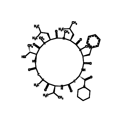 CC(C)C[C@H]1C(=O)N(C)[C@@H](CC(C)C)C(=O)N(C)[C@@H](Cc2ccccc2)C(=O)N[C@H](C(=O)N2CCCCC2)CC(=O)N[C@@H](C(C)C)C(=O)N(C)CC(=O)N[C@@H]([C@@H](C)O)C(=O)N1C